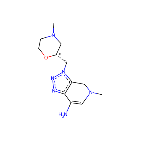 CN1C=C(N)c2nnn(C[C@H]3CN(C)CCO3)c2C1